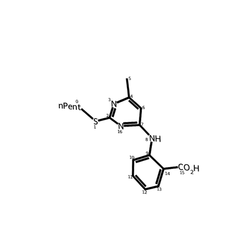 CCCCCSc1nc(C)cc(Nc2ccccc2C(=O)O)n1